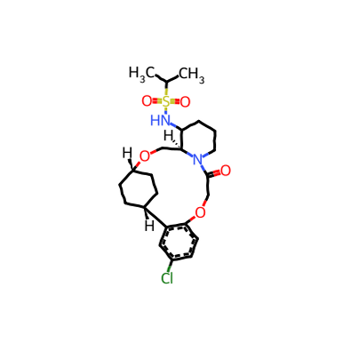 CC(C)S(=O)(=O)NC1CCCN2C(=O)COc3ccc(Cl)cc3[C@H]3CC[C@H](CC3)OC[C@@H]12